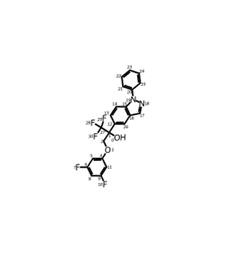 OC(COc1cc(F)cc(F)c1)(c1ccc2c(cnn2-c2ccccc2)c1)C(F)(F)F